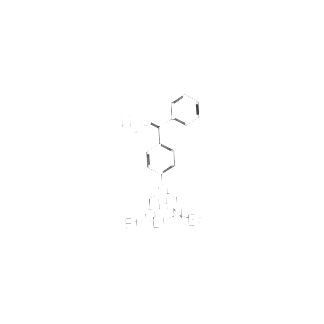 C=C(c1ccccc1)c1ccc([SiH](COCC)CN(CC)CC)cc1